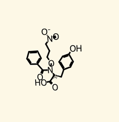 O=C(O)[C@H](Cc1ccc(O)cc1)N(OCCC[N+](=O)[O-])C(=O)c1ccccc1